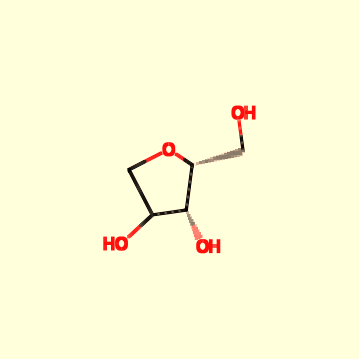 OC[C@H]1OCC(O)[C@H]1O